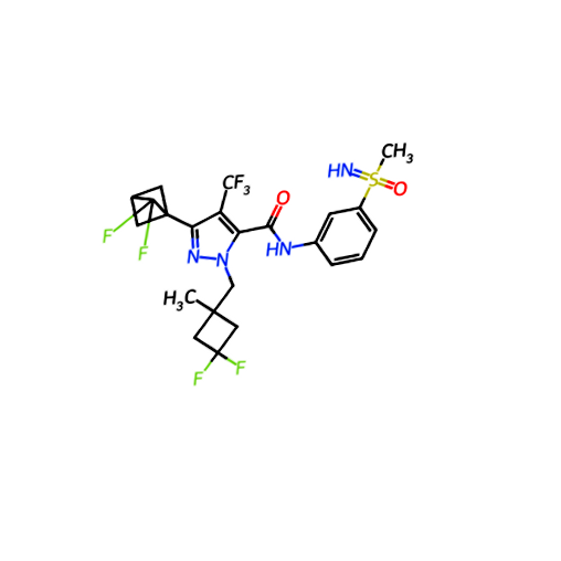 CC1(Cn2nc(C34CC(C3)C4(F)F)c(C(F)(F)F)c2C(=O)Nc2cccc(S(C)(=N)=O)c2)CC(F)(F)C1